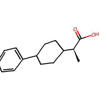 C[C@H](C(=O)O)C1CCC(c2ccccc2)CC1